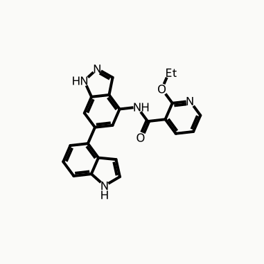 CCOc1ncccc1C(=O)Nc1cc(-c2cccc3[nH]ccc23)cc2[nH]ncc12